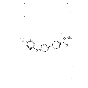 CC(C)(C)OC(=O)N1CCC(c2ccc(Oc3cnc(C(F)(F)F)cn3)cc2)CC1